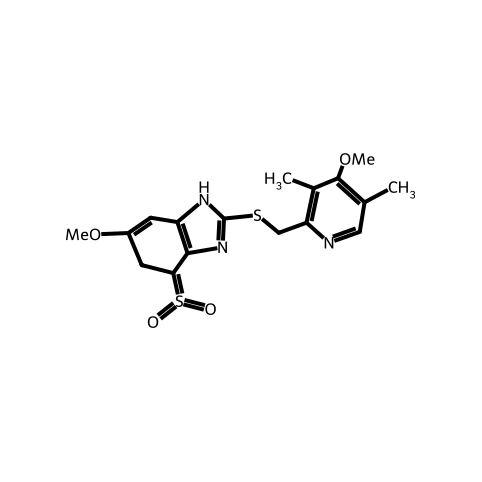 COC1=Cc2[nH]c(SCc3ncc(C)c(OC)c3C)nc2C(=S(=O)=O)C1